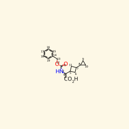 O=C(N[C@H](C(=O)O)C1CC(C2CC2)C1)OCc1ccccc1